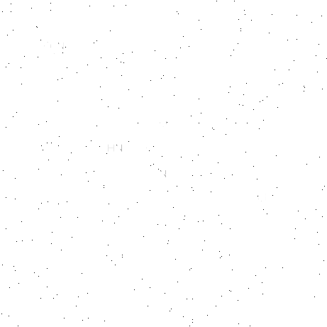 O=C(Nc1ccc([N+](=O)[O-])cc1)N1Cc2ccccc2C(c2ccccc2Cl)c2ccccc21